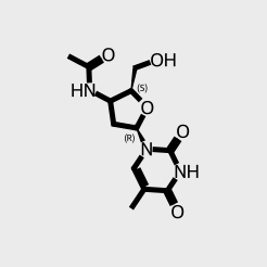 CC(=O)NC1C[C@H](n2cc(C)c(=O)[nH]c2=O)O[C@@H]1CO